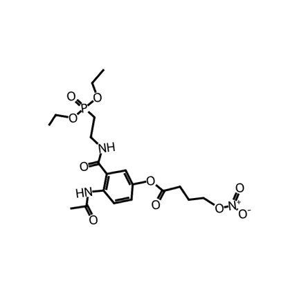 CCOP(=O)(CCNC(=O)c1cc(OC(=O)CCCO[N+](=O)[O-])ccc1NC(C)=O)OCC